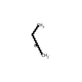 [CH2]CCCCCCCCC(=O)CCCCCCC/C=C\CCCCCCCC